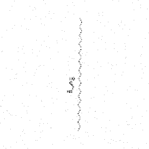 CCCCCCCCCCCCCCC(O)CC(CCCCCCCCCC)C(=O)O